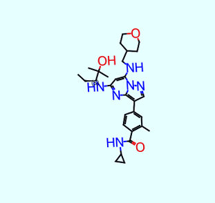 CC[C@H](Nc1cc(NCC2CCOCC2)n2ncc(-c3ccc(C(=O)NC4CC4)c(C)c3)c2n1)C(C)(C)O